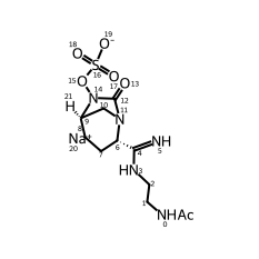 CC(=O)NCCNC(=N)[C@@H]1CC[C@@H]2CN1C(=O)N2OS(=O)(=O)[O-].[Na+]